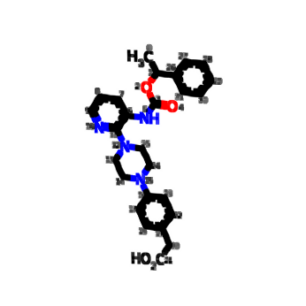 CC(OC(=O)Nc1cccnc1N1CCN(c2ccc(CC(=O)O)cc2)CC1)c1ccccc1